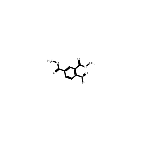 COC(=O)c1[c]c(C(=O)OC)c([N+](=O)[O-])cc1